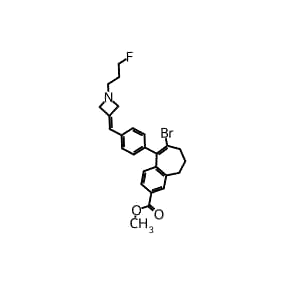 COC(=O)c1ccc2c(c1)CCCC(Br)=C2c1ccc(C=C2CN(CCCF)C2)cc1